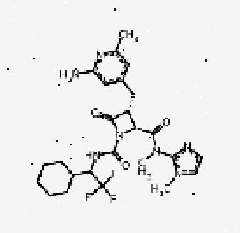 Cc1cc(C[C@H]2C(=O)N(C(=O)N[C@H](C3CCCCC3)C(F)(F)F)[C@@H]2C(=O)N(C)c2nccn2C)cc(N)n1